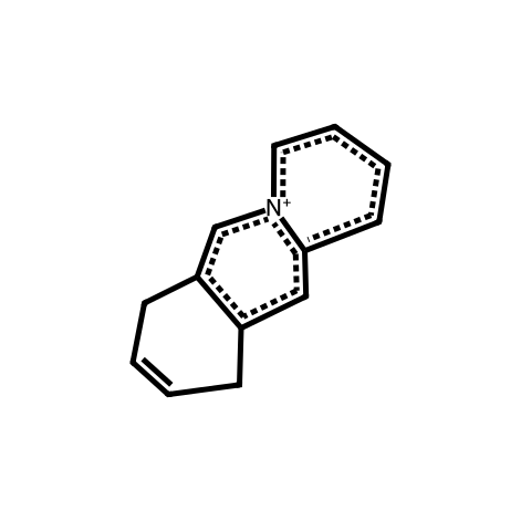 C1=CCc2c[n+]3ccccc3cc2C1